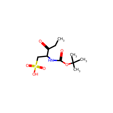 CCC(=O)C(CS(=O)(=O)O)NC(=O)OC(C)(C)C